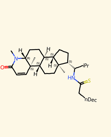 CCCCCCCCCCCC(=S)NC(C(C)C)[C@H]1CC[C@H]2[C@@H]3CC[C@H]4N(C)C(=O)C=C[C@]4(C)[C@H]3CC[C@]12C